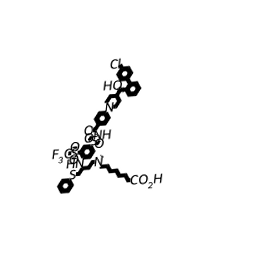 CN(CCCCCCCC(=O)O)CCC(CSc1ccccc1)Nc1ccc(S(=O)(=O)NC(=O)c2ccc(N3CCC([C@@H](O)c4ccccc4-c4ccc(Cl)cc4)CC3)cc2)cc1S(=O)(=O)C(F)(F)F